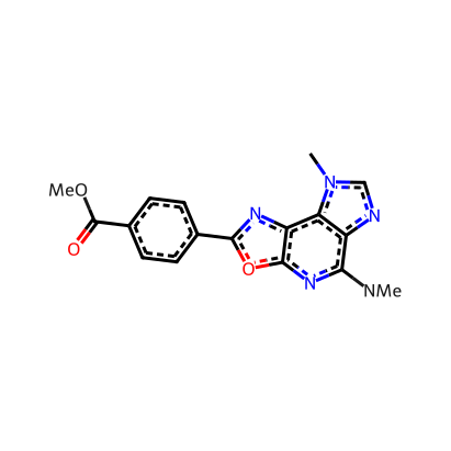 CNc1nc2oc(-c3ccc(C(=O)OC)cc3)nc2c2c1ncn2C